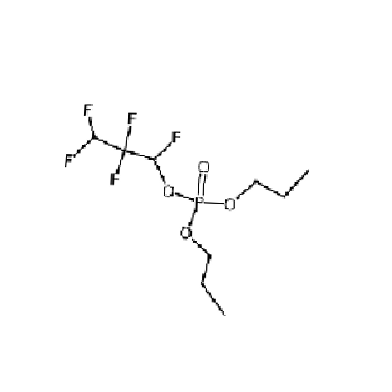 CCCOP(=O)(OCCC)OC(F)C(F)(F)C(F)F